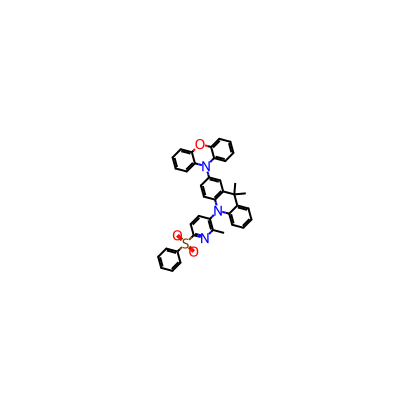 Cc1nc(S(=O)(=O)c2ccccc2)ccc1N1c2ccccc2C(C)(C)c2cc(N3c4ccccc4Oc4ccccc43)ccc21